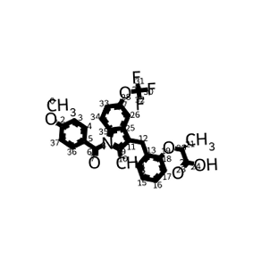 COc1ccc(C(=O)n2c(C)c(Cc3ccccc3O[C@@H](C)C(=O)O)c3cc(OC(F)(F)F)ccc32)cc1